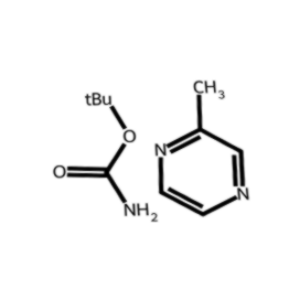 CC(C)(C)OC(N)=O.Cc1cnccn1